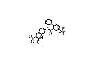 Cc1nc2cc(NC(=O)c3cc(C(F)(F)F)ccc3-c3ccccc3)ccc2cc1C(=O)O